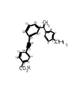 C=C(c1ccc(C)cc1)c1cccc(C#Cc2ccc(C(=O)O)cc2)c1